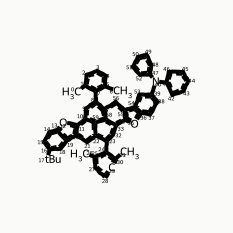 Cc1cccc(C)c1-c1cc2c3oc4ccc(C(C)(C)C)cc4c3cc3c(-c4c(C)cccc4C)cc4c5oc6ccc(N(c7ccccc7)c7ccccc7)cc6c5cc1c4c32